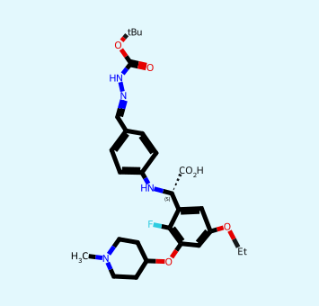 CCOc1cc(OC2CCN(C)CC2)c(F)c([C@H](Nc2ccc(C=NNC(=O)OC(C)(C)C)cc2)C(=O)O)c1